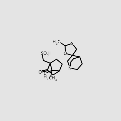 CC1(C)C2CCC1(CS(=O)(=O)O)C(=O)C2.CC1OC2(CS1)CN1CCC2CC1